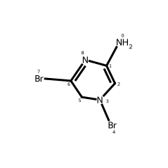 NC1=CN(Br)CC(Br)=N1